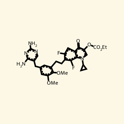 CCOC(=O)Oc1cn(C2CC2)c2c(F)c(CCc3cc(Cc4cnc(N)nc4N)cc(OC)c3OC)c(F)cc2c1=O